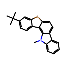 Cn1c2ccccc2c2ccc3sc4cc(C(C)(C)C)ccc4c3c21